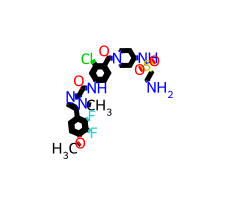 COc1ccc(-c2cnc(C(=O)Nc3ccc(C(=O)N4CCC(NS(=O)(=O)CCN)CC4)c(Cl)c3)n2C)c(F)c1F